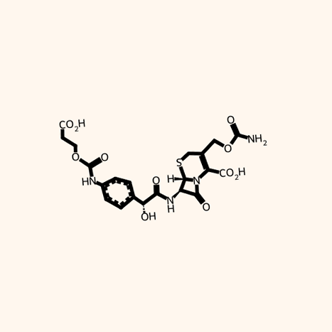 NC(=O)OCC1=C(C(=O)O)N2C(=O)[C@@H](NC(=O)[C@H](O)c3ccc(NC(=O)OCCC(=O)O)cc3)[C@@H]2SC1